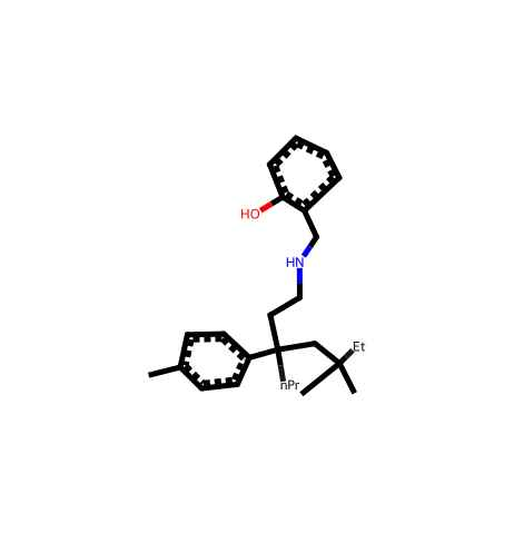 CCCC(CCNCc1ccccc1O)(CC(C)(C)CC)c1ccc(C)cc1